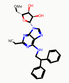 COC[C@H]1O[C@@H](n2cnc3c(NCC(c4ccccc4)c4ccccc4)nc(CC#N)nc32)[C@H](O)[C@@H]1O